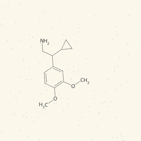 COc1ccc(C(CN)C2CC2)cc1OC